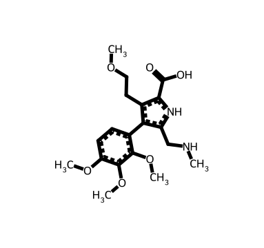 CNCc1[nH]c(C(=O)O)c(CCOC)c1-c1ccc(OC)c(OC)c1OC